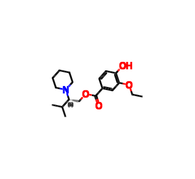 CCOc1cc(C(=O)OC[C@H](C(C)C)N2CCCCC2)ccc1O